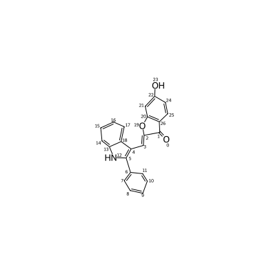 O=C1/C(=C/c2c(-c3ccccc3)[nH]c3ccccc23)Oc2cc(O)ccc21